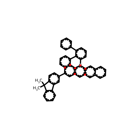 CC1(C)c2ccccc2-c2cc(-c3ccc(N(c4ccc5ccccc5c4)c4cccc(-c5ccccc5)c4-c4ccccc4-c4ccccc4)cc3)ccc21